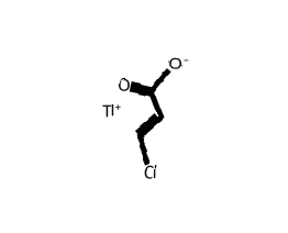 O=C([O-])C=CCl.[Tl+]